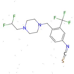 FC(F)CN1CCN(Cc2ccc(N=C=S)cc2C(F)(F)F)CC1